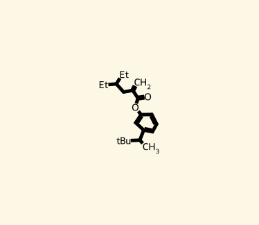 C=C(CC(CC)CC)C(=O)Oc1cccc(C(C)C(C)(C)C)c1